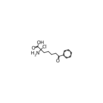 NC(Cl)(CCCCC(=O)c1ccccc1)C(=O)O